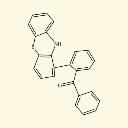 O=C(c1ccccc1)c1ccccc1-c1cccc2c1Nc1ccccc1S2